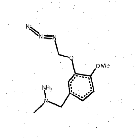 COc1ccc(CN(C)N)cc1OCN=[N+]=[N-]